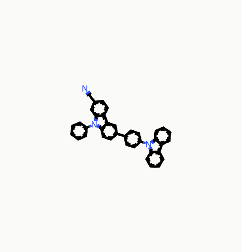 N#Cc1ccc2c3cc(-c4ccc(-n5c6ccccc6c6ccccc65)cc4)ccc3n(-c3ccccc3)c2c1